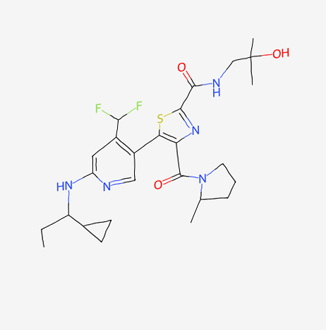 CCC(Nc1cc(C(F)F)c(-c2sc(C(=O)NCC(C)(C)O)nc2C(=O)N2CCCC2C)cn1)C1CC1